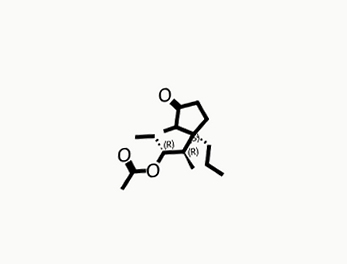 CCC[C@@]1([C@@H](C)[C@@H](CC)OC(C)=O)CCC(=O)C1C